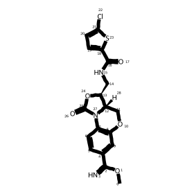 COC(=N)c1ccc2c(c1)OC[C@H]1[C@H](CNC(=O)c3ccc(Cl)s3)OC(=O)N21